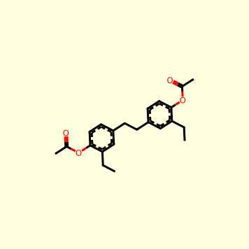 CCc1cc(CCc2ccc(OC(C)=O)c(CC)c2)ccc1OC(C)=O